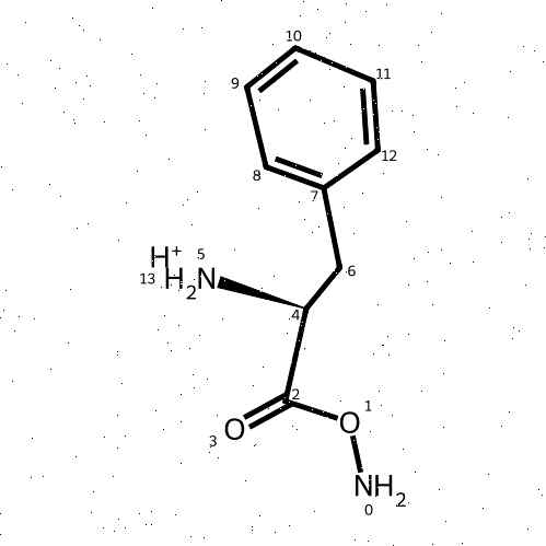 NOC(=O)[C@@H](N)Cc1ccccc1.[H+]